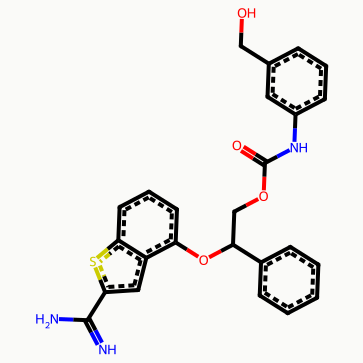 N=C(N)c1cc2c(OC(COC(=O)Nc3cccc(CO)c3)c3ccccc3)cccc2s1